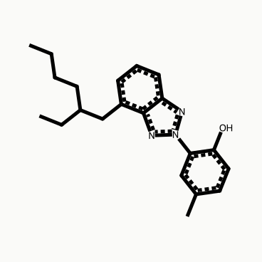 CCCCC(CC)Cc1cccc2nn(-c3cc(C)ccc3O)nc12